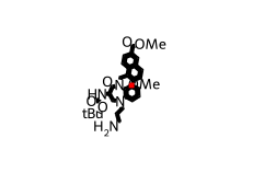 COC(=O)c1ccc2c(CN3C(=O)C(NC(=O)OC(C)(C)C)CN(CCCN)c4ccccc43)c(OC)ccc2c1